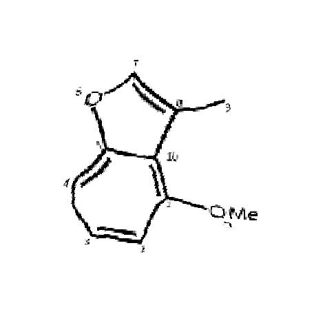 COc1cccc2o[c]c(C)c12